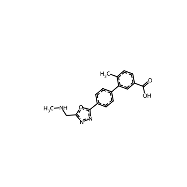 CNCc1nnc(-c2ccc(-c3cc(C(=O)O)ccc3C)cc2)o1